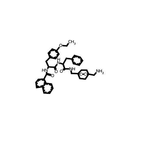 CCOc1ccc(CC(NC(=O)c2cccc3ccccc23)C(=O)NC(Cc2ccccc2)C(=O)NCC23CCC(CN)(CC2)CC3)cc1